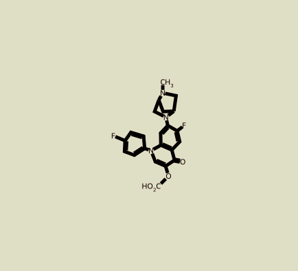 CN1CC2CC1CN2c1cc2c(cc1F)c(=O)c(OC(=O)O)cn2-c1ccc(F)cc1